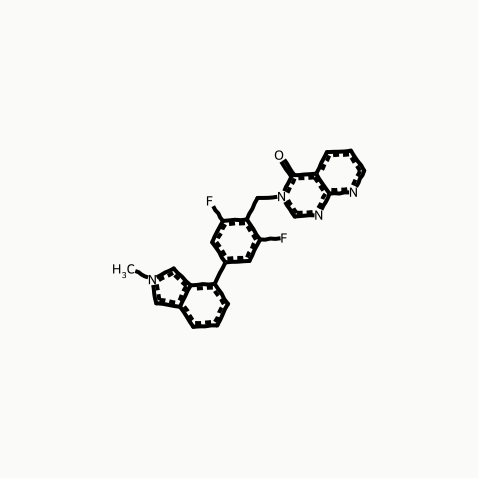 Cn1cc2cccc(-c3cc(F)c(Cn4cnc5ncccc5c4=O)c(F)c3)c2c1